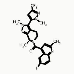 Cc1cc(C(=O)N2CCc3c(nn(C)c3-c3cc(C(F)(F)F)nn3C)[C@@H]2C)c2cc(F)ccc2n1